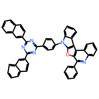 c1ccc(-c2nc3ccccc3c3c2oc2c3c3ccccc3n2-c2ccc(-c3nc(-c4ccc5ccccc5c4)nc(-c4ccc5ccccc5c4)n3)cc2)cc1